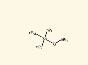 CCCC[O][Sn]([CH2]CC)([CH2]CC)[CH2]CCC